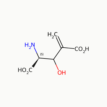 C=C(C(=O)O)C(O)[C@H](N)C(=O)O